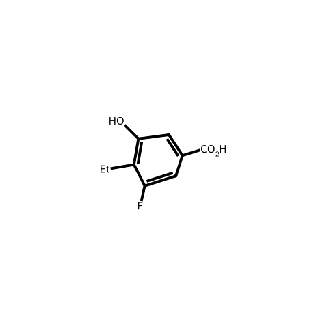 CCc1c(O)cc(C(=O)O)cc1F